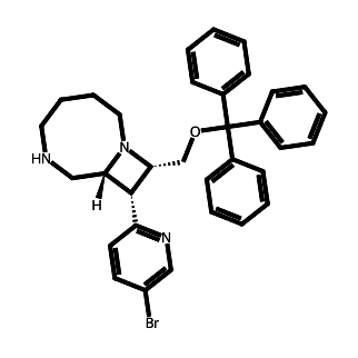 Brc1ccc([C@H]2[C@@H](COC(c3ccccc3)(c3ccccc3)c3ccccc3)N3CCCCNC[C@@H]23)nc1